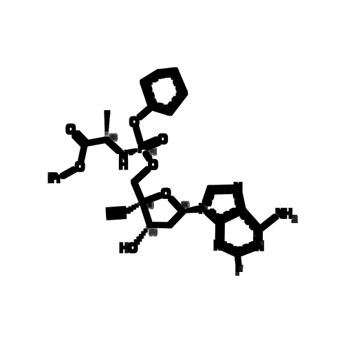 C#C[C@]1(CO[P@@](=O)(N[C@@H](C)C(=O)OC(C)C)Oc2ccccc2)O[C@@H](n2cnc3c(N)nc(F)nc32)C[C@@H]1O